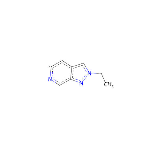 CCn1cc2c[c]ncc2n1